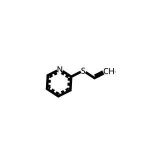 [CH]=CSc1ccccn1